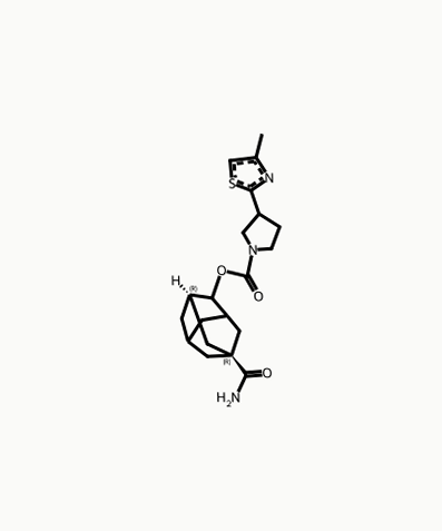 Cc1csc(C2CCN(C(=O)OC3C4CC5C[C@@H]3C[C@@](C(N)=O)(C5)C4)C2)n1